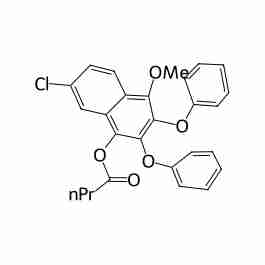 CCCC(=O)Oc1c(Oc2ccccc2)c(Oc2ccccc2)c(OC)c2ccc(Cl)cc12